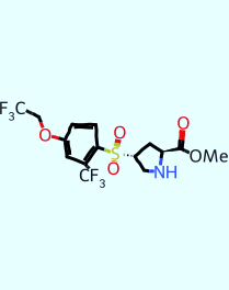 COC(=O)[C@@H]1C[C@@H](S(=O)(=O)c2ccc(OCC(F)(F)F)cc2C(F)(F)F)CN1